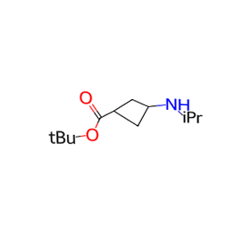 CC(C)NC1CC(C(=O)OC(C)(C)C)C1